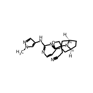 Cn1cc(Nc2nccc(N3C[C@H]4CC[C@@H](C3)N4C3(CC#N)COC3)n2)cn1